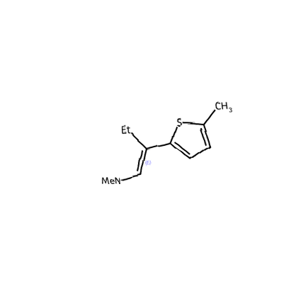 CC/C(=C\NC)c1ccc(C)s1